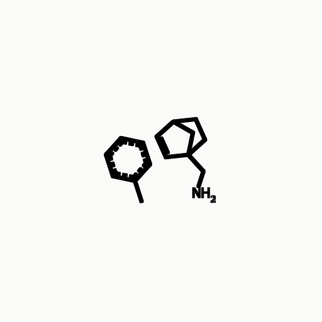 Cc1ccccc1.NCC12C=CC(CC1)C2